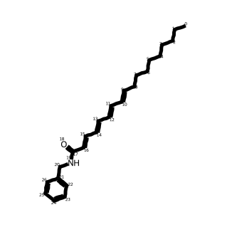 CCCCCCCCCC=CC=CC=CC=CC(=O)NCc1ccccc1